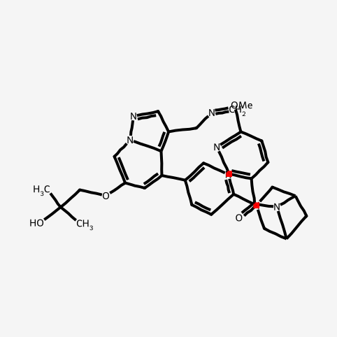 C=NCc1cnn2cc(OCC(C)(C)O)cc(-c3ccc(N4CC5CC(C4)N5C(=O)c4ccc(OC)nc4)nc3)c12